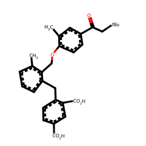 Cc1cc(C(=O)CC(C)(C)C)ccc1OCc1c(C)cccc1Cc1ccc(C(=O)O)cc1C(=O)O